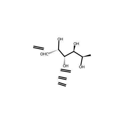 C=C.C=C.C=C.C=C.C[C@@H](O)[C@H](O)[C@H](O)[C@@H](O)C=O